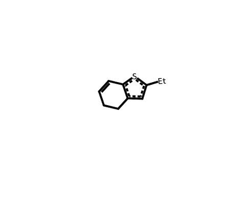 CCc1cc2c(s1)C=CCC2